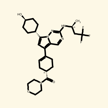 C[C@@H](CC(F)(F)F)Nc1ncc2c(C3=CC[C@@H](C(=O)N4CCOCC4)CC3)cc([C@H]3CC[C@H](O)CC3)n2n1